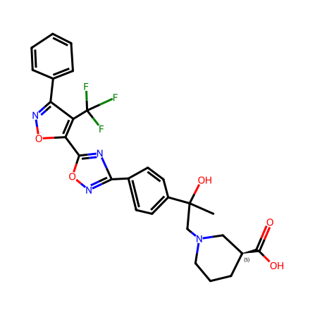 CC(O)(CN1CCC[C@H](C(=O)O)C1)c1ccc(-c2noc(-c3onc(-c4ccccc4)c3C(F)(F)F)n2)cc1